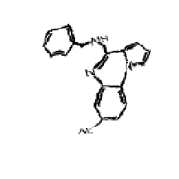 N#Cc1ccc2c(c1)nc(Nc1ccccc1)c1cccn12